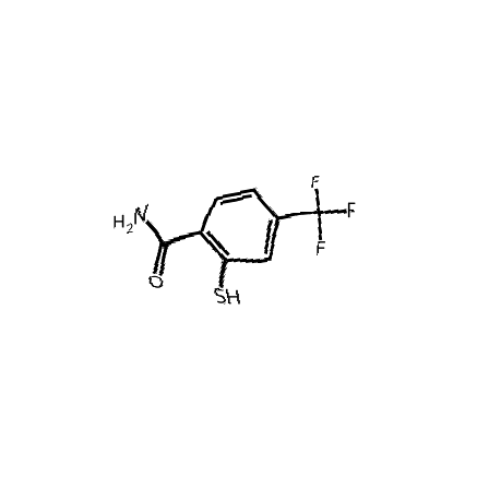 NC(=O)c1ccc(C(F)(F)F)cc1S